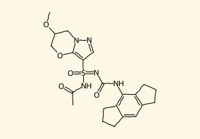 COC1COc2c(S(=O)(=NC(=O)Nc3c4c(cc5c3CCC5)CCC4)NC(C)=O)cnn2C1